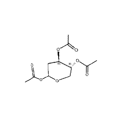 CC(=O)OC1C[C@@H](OC(C)=O)[C@H](OC(C)=O)CO1